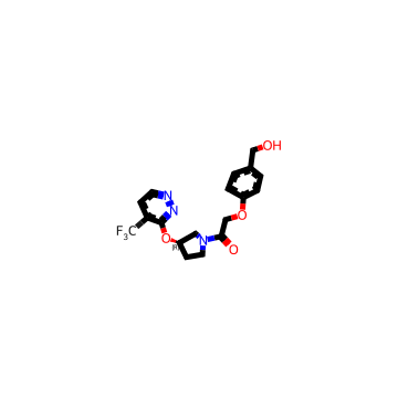 O=C(COc1ccc(CO)cc1)N1CC[C@@H](Oc2nnccc2C(F)(F)F)C1